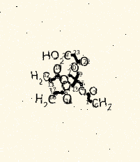 C=CC(=O)OCC(COC(=O)C=C)(COC(=O)C=C)COC(=O)CC(=O)O